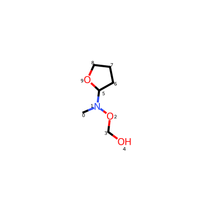 CN(OCO)C1CCCO1